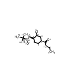 CCOC(=O)[C@H]1CC/C(=N\[S@@+]([O-])C(C)(C)C)[C@@H](Cl)C1